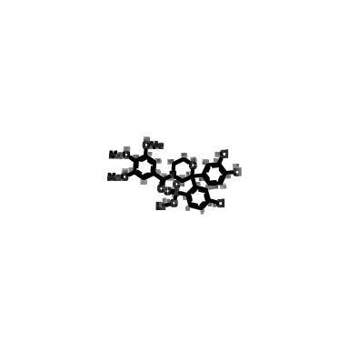 CCOS(=O)(=O)c1ccc(Cl)cc1C1(c2ccc(Cl)c(Cl)c2)CN(C(=O)c2cc(OC)c(OC)c(OC)c2)CCO1